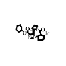 O=C(OC1CCCCC1)c1ncn2c1[C@@H]1CCCN1C(=O)c1c(Br)cccc1-2